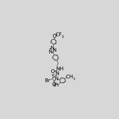 Cc1ccc(C(C)C)c(N2C(=O)C(Br)S/C2=N\C(=O)NCCc2ccc(-c3ncn(-c4ccc(OC(F)(F)F)cc4)n3)cc2)c1